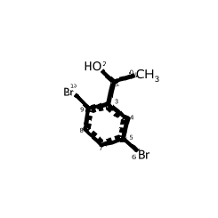 CC(O)c1cc(Br)ccc1Br